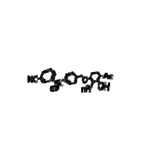 CCCc1c(OCc2ccc([S+]([O-])c3cccc(C#N)c3)cc2)ccc(C(C)=O)c1O